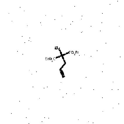 C=CCC(C(=O)OCC)(C(=O)OCC)C(C)CC